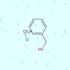 O=C(O)Cl.OCc1ccccc1